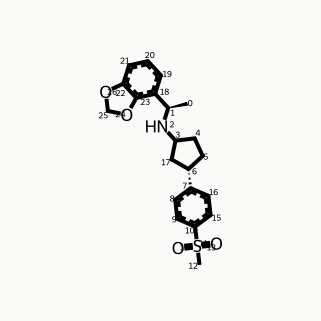 C[C@@H](NC1CC[C@H](c2ccc(S(C)(=O)=O)cc2)C1)c1cccc2c1OCO2